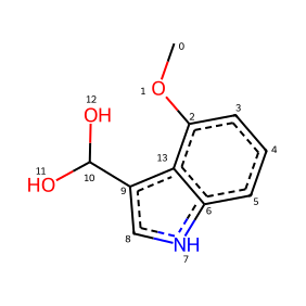 COc1cccc2[nH]cc(C(O)O)c12